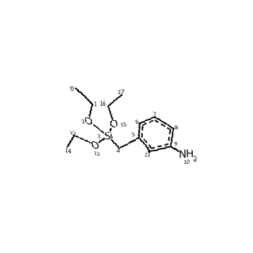 CCO[Si](Cc1cccc(N)c1)(OCC)OCC